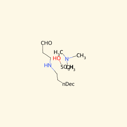 CCCCCCCCCCCCNCCC=O.CN(C)C.O=S(=O)(O)O